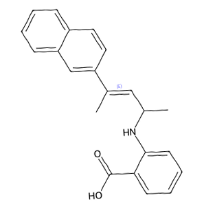 C/C(=C\C(C)Nc1ccccc1C(=O)O)c1ccc2ccccc2c1